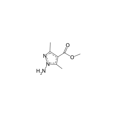 COC(=O)c1c(C)nn(N)c1C